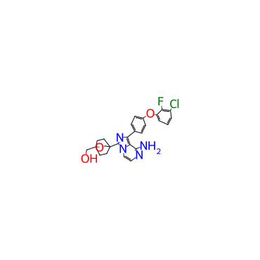 Nc1nccn2c(C34CCC(CO)(CC3)OC4)nc(-c3ccc(Oc4cccc(Cl)c4F)cc3)c12